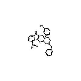 O=[N+]([O-])c1cccc2[nH]c3c(c12)CC1CN(Cc2ccccc2)CCC1(c1cccc(O)c1)C3